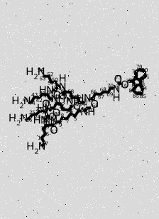 CCNC(=O)CCCCCNC(=O)C(CCCCN)NC(=O)C(CCCCN)NC(=O)C(CCCCN)NC(=O)C(CCCCN)NC(=O)C(CCCCN)NC(=O)CCCCCNC(=O)CCCCCNC(=O)OCC1c2ccccc2-c2ccccc21